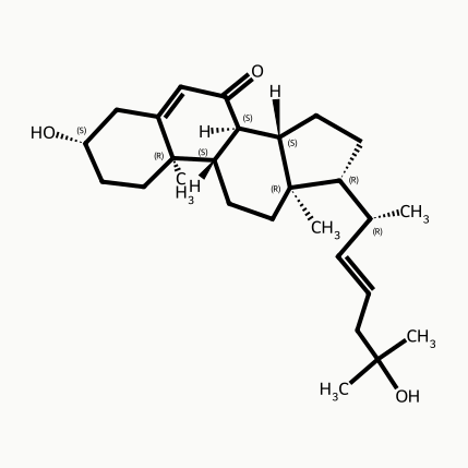 C[C@H](C=CCC(C)(C)O)[C@H]1CC[C@H]2[C@@H]3C(=O)C=C4C[C@@H](O)CC[C@]4(C)[C@H]3CC[C@]12C